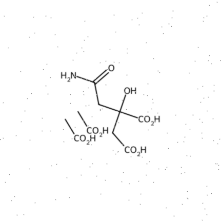 CC(=O)O.CC(=O)O.NC(=O)CC(O)(CC(=O)O)C(=O)O